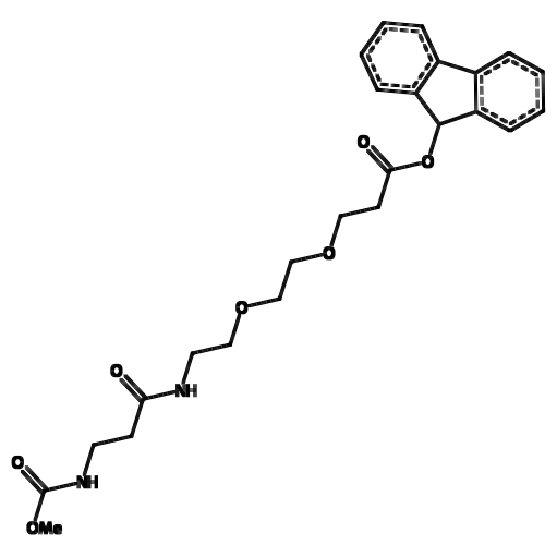 COC(=O)NCCC(=O)NCCOCCOCCC(=O)OC1c2ccccc2-c2ccccc21